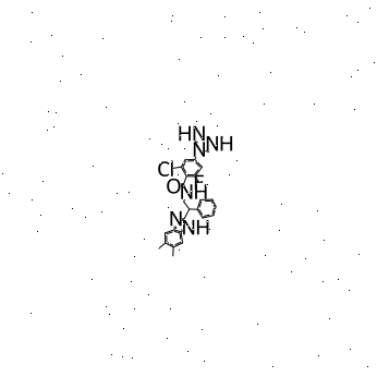 Cc1cc2nc(C(CNC(=O)c3c(F)cc(N(C=N)C=N)cc3Cl)c3ccccc3)[nH]c2cc1C